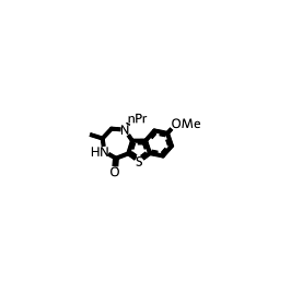 CCCN1CC(C)NC(=O)c2sc3ccc(OC)cc3c21